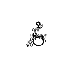 CCOC(=O)[C@@]12C[C@H]1/C=C\CCCCC[C@H](NC(=O)OC(C)(C)C)C(=O)N1C[C@@H]3CN(C(=O)NCc4ccnc5ccccc45)C[C@@H]3[C@H]1C(=O)N2